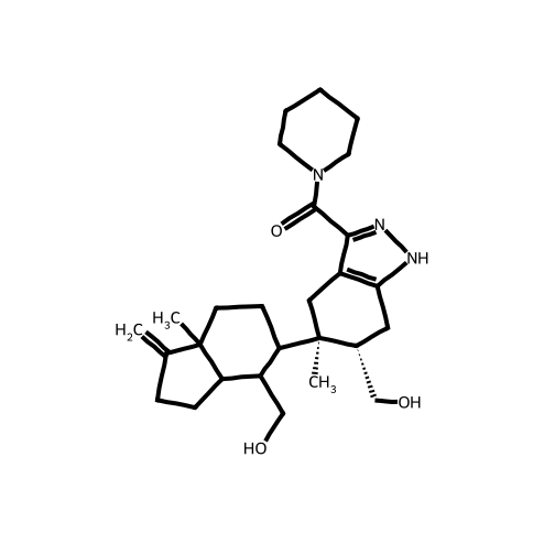 C=C1CCC2C(CO)C([C@@]3(C)Cc4c(C(=O)N5CCCCC5)n[nH]c4C[C@@H]3CO)CCC12C